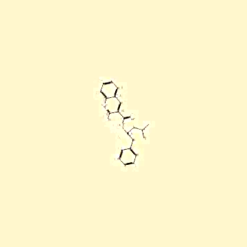 CC(C)C[C@@](C)(Cc1ccccc1)NC(=O)c1cc2ccccc2nc1F